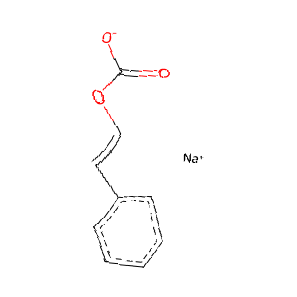 O=C([O-])OC=Cc1ccccc1.[Na+]